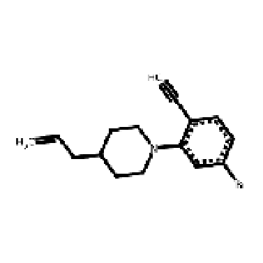 C#Cc1ccc(Br)cc1N1CCC(CC=C)CC1